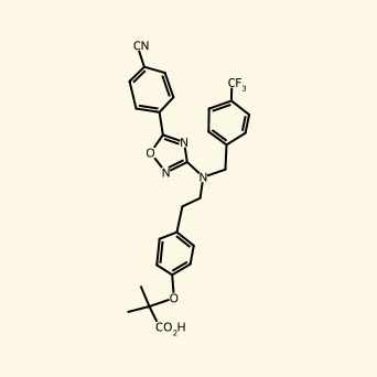 CC(C)(Oc1ccc(CCN(Cc2ccc(C(F)(F)F)cc2)c2noc(-c3ccc(C#N)cc3)n2)cc1)C(=O)O